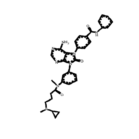 CN(C(=O)CCCN(C)C1CC1)c1cccc(-n2c(=O)n(-c3ccc(C(=O)Nc4ccccc4)cc3)c3c(N)ncnc32)c1